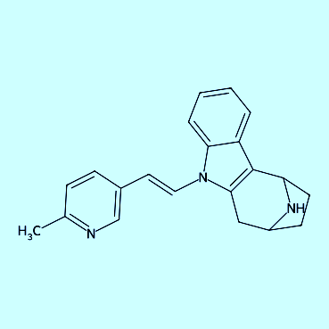 Cc1ccc(/C=C/n2c3c(c4ccccc42)C2CCC(C3)N2)cn1